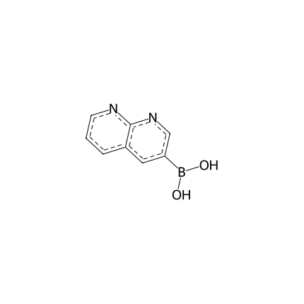 OB(O)c1cnc2ncccc2c1